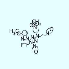 COc1cccc2c1nc(C(F)F)n2-c1nc(N2CCOCC2)nc(N(CCCN2CCOCC2)C2CCN(S(C)(=O)=O)CC2)n1